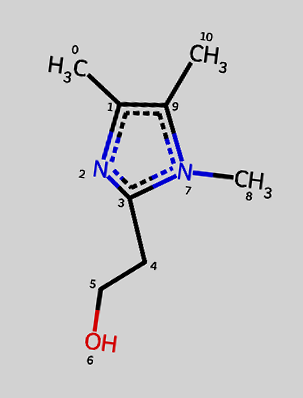 Cc1nc(CCO)n(C)c1C